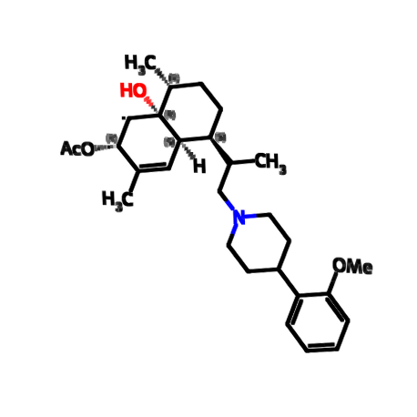 COc1ccccc1C1CCN(CC(C)[C@@H]2CC[C@@H](C)[C@]3(O)[CH][C@@H](OC(C)=O)C(C)=C[C@H]23)CC1